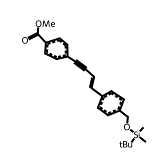 COC(=O)c1ccc(C#C/C=C/c2ccc(CO[Si](C)(C)C(C)(C)C)cc2)cc1